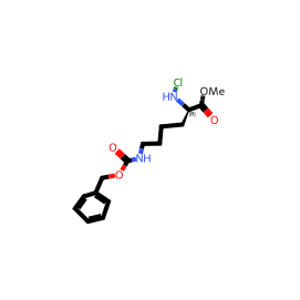 COC(=O)[C@@H](CCCCNC(=O)OCc1ccccc1)NCl